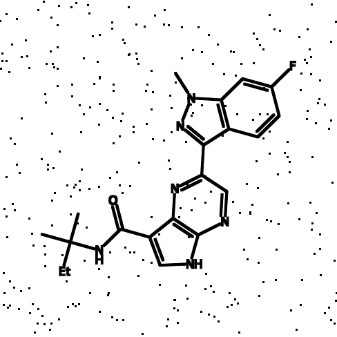 CCC(C)(C)NC(=O)c1c[nH]c2ncc(-c3nn(C)c4cc(F)ccc34)nc12